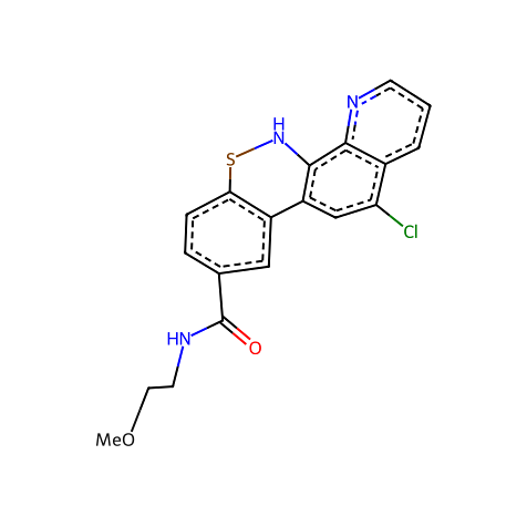 COCCNC(=O)c1ccc2c(c1)-c1cc(Cl)c3cccnc3c1NS2